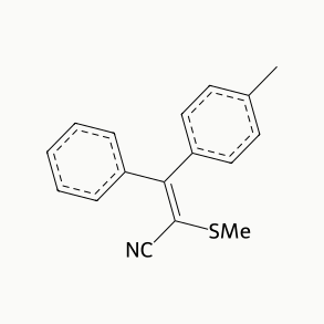 CSC(C#N)=C(c1ccccc1)c1ccc(C)cc1